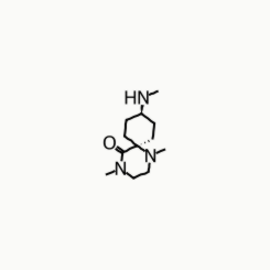 CN[C@H]1CC[C@@]2(CC1)C(=O)N(C)CCN2C